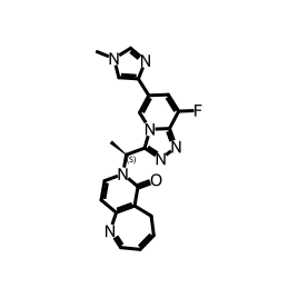 C[C@@H](c1nnc2c(F)cc(-c3cn(C)cn3)cn12)n1ccc2c(c1=O)CC=CC=N2